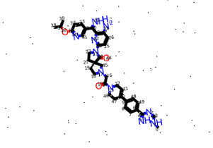 CN/C=N\C(=N)c1ccc(C2=CCN(C(=O)CN3CC[C@]4(CCN(c5ccc(N)c(C(=N)c6ccc(OC(C)C)nc6)n5)C4=O)C3)CC2)cc1